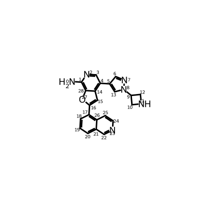 Nc1ncc(-c2cnn(C3CNC3)c2)c2cc(-c3cccc4cnccc34)oc12